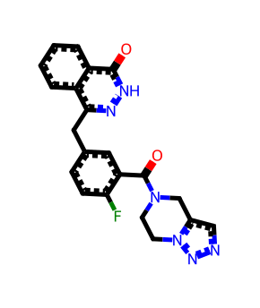 O=C(c1cc(Cc2n[nH]c(=O)c3ccccc23)ccc1F)N1CCn2nncc2C1